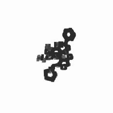 CC(C)(C)CC(NC(=O)c1ccccc1)C(=O)NC1C(=O)CO[C@H]1CN1CCCC1